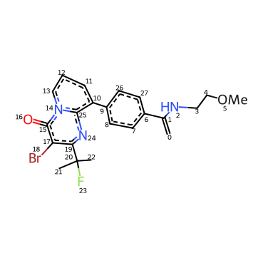 C=C(NCCOC)c1ccc(-c2cccn3c(=O)c(Br)c(C(C)(C)F)nc23)cc1